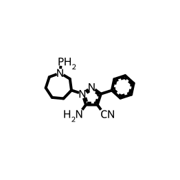 N#Cc1c(-c2ccccc2)nn(C2CCCCN(P)C2)c1N